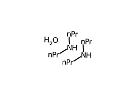 CCCNCCC.CCCNCCC.O